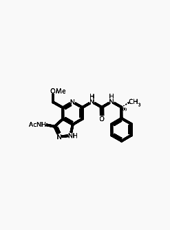 COCc1nc(NC(=O)N[C@H](C)c2ccccc2)cc2[nH]nc(NC(C)=O)c12